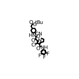 CC(C)(C)OC(=O)CC1CCC(C#N)(NC(=O)C(=O)c2c(Cl)c(C(=O)Nc3cc(F)c(F)c(F)c3)c3n2CCC3)CC1